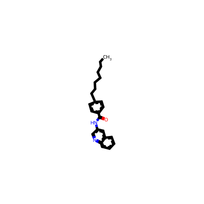 CCCCCCCCc1ccc(C(=O)Nc2cnc3ccccc3c2)cc1